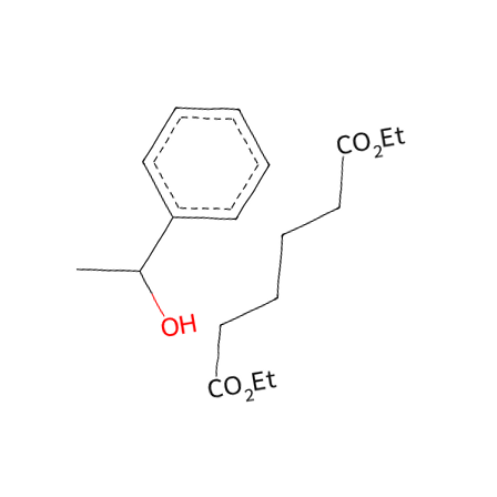 CC(O)c1ccccc1.CCOC(=O)CCCCC(=O)OCC